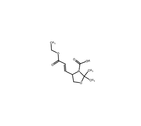 CCOC(=O)C=CC1COC(C)(C)N1C(=O)O